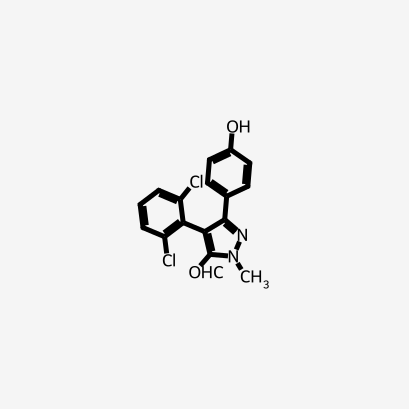 Cn1nc(-c2ccc(O)cc2)c(-c2c(Cl)cccc2Cl)c1C=O